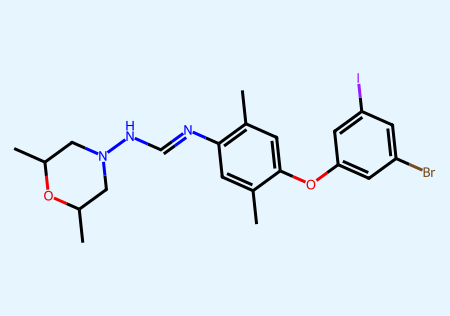 Cc1cc(Oc2cc(Br)cc(I)c2)c(C)cc1N=CNN1CC(C)OC(C)C1